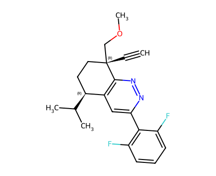 C#C[C@]1(COC)CC[C@H](C(C)C)c2cc(-c3c(F)cccc3F)nnc21